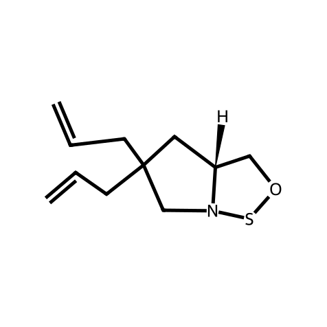 C=CCC1(CC=C)C[C@@H]2COSN2C1